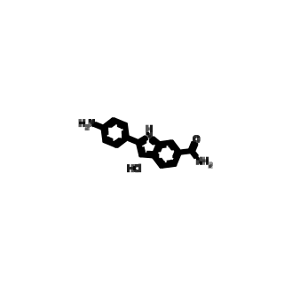 Cl.NC(=O)c1ccc2cc(-c3ccc(N)cc3)[nH]c2c1